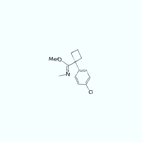 CN=C(OC)C1(c2ccc(Cl)cc2)CCC1